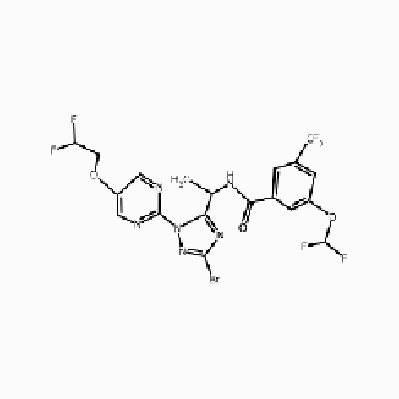 CC(NC(=O)c1cc(OC(F)F)cc(C(F)(F)F)c1)c1nc(Br)nn1-c1ncc(OCC(F)F)cn1